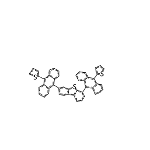 c1csc(-c2c3ccccc3c(-c3ccc4c(c3)sc3c(-c5c6ccccc6c(-c6cccs6)c6ccccc56)cccc34)c3ccccc23)c1